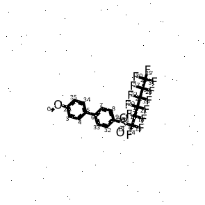 COc1ccc(-c2ccc(S(=O)(=O)C(F)(F)C(F)(F)C(F)(F)C(F)(F)C(F)(F)C(F)(F)F)cc2)cc1